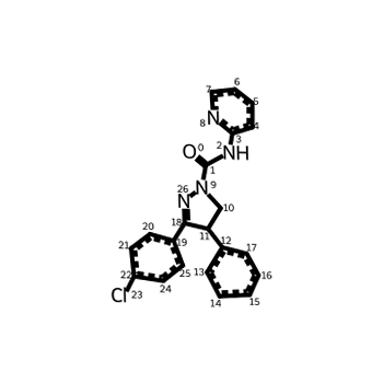 O=C(Nc1ccccn1)N1CC(c2ccccc2)C(c2ccc(Cl)cc2)=N1